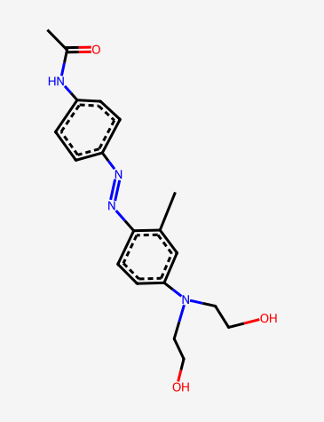 CC(=O)Nc1ccc(N=Nc2ccc(N(CCO)CCO)cc2C)cc1